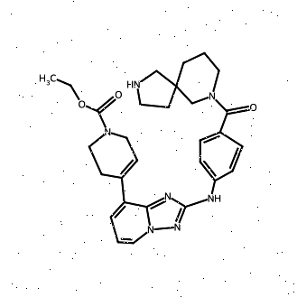 CCOC(=O)N1CC=C(c2cccn3nc(Nc4ccc(C(=O)N5CCCC6(CCNC6)C5)cc4)nc23)CC1